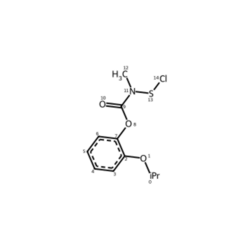 CC(C)Oc1ccccc1OC(=O)N(C)SCl